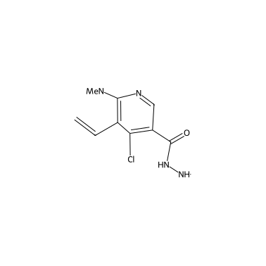 C=Cc1c(NC)ncc(C(=O)N[NH])c1Cl